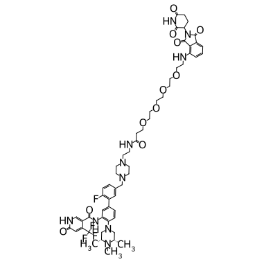 C[C@@H]1CN(c2ccc(-c3cc(CN4CCN(CCNC(=O)CCOCCOCCOCCOCCNc5cccc6c5C(=O)N(C5CCC(=O)NC5=O)C6=O)CC4)ccc3F)cc2NC(=O)c2c[nH]c(=O)cc2C(F)(F)F)C[C@H](C)N1C